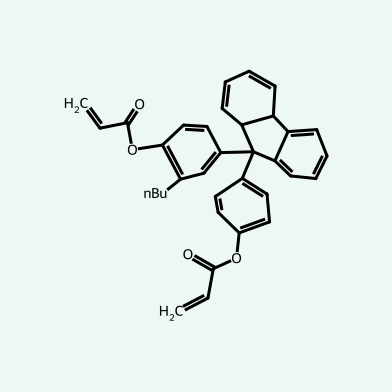 C=CC(=O)Oc1ccc(C2(c3ccc(OC(=O)C=C)c(CCCC)c3)c3ccccc3C3C=CC=CC32)cc1